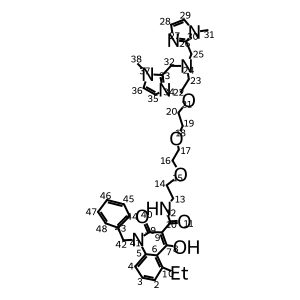 CCc1cccc2c1c(O)c(C(=O)NCCOCCOCCOCCN(Cc1nccn1C)Cc1nccn1C)c(=O)n2Cc1ccccc1